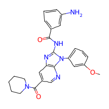 COc1cccc(-n2c(NC(=O)c3cccc(N)c3)nc3cc(C(=O)N4CCCCC4)cnc32)c1